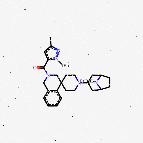 CCOC(=O)N1C2CCC1CC(N1CCC3(CC1)CN(C(=O)c1cc(C)nn1C(C)(C)C)Cc1ccccc13)C2